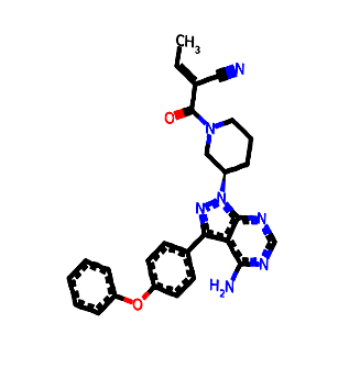 C/C=C(\C#N)C(=O)N1CCC[C@@H](n2nc(-c3ccc(Oc4ccccc4)cc3)c3c(N)ncnc32)C1